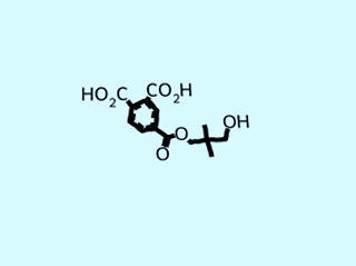 CC(C)(CO)COC(=O)c1ccc(C(=O)O)c(C(=O)O)c1